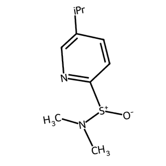 CC(C)c1ccc([S+]([O-])N(C)C)nc1